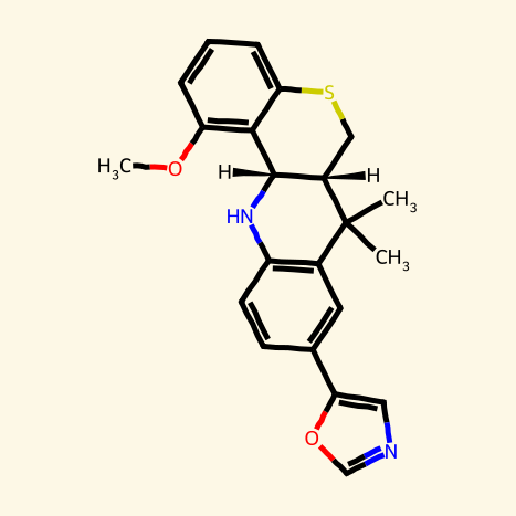 COc1cccc2c1[C@H]1Nc3ccc(-c4cnco4)cc3C(C)(C)[C@H]1CS2